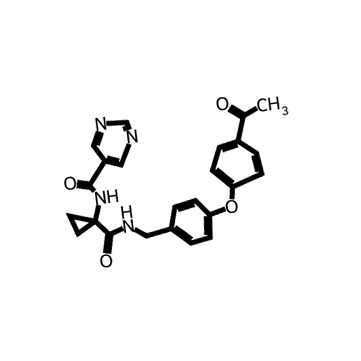 CC(=O)c1ccc(Oc2ccc(CNC(=O)C3(NC(=O)c4cncnc4)CC3)cc2)cc1